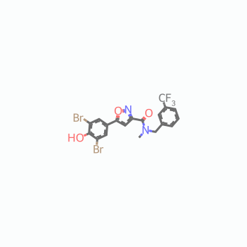 CN(Cc1cccc(C(F)(F)F)c1)C(=O)c1cc(-c2cc(Br)c(O)c(Br)c2)on1